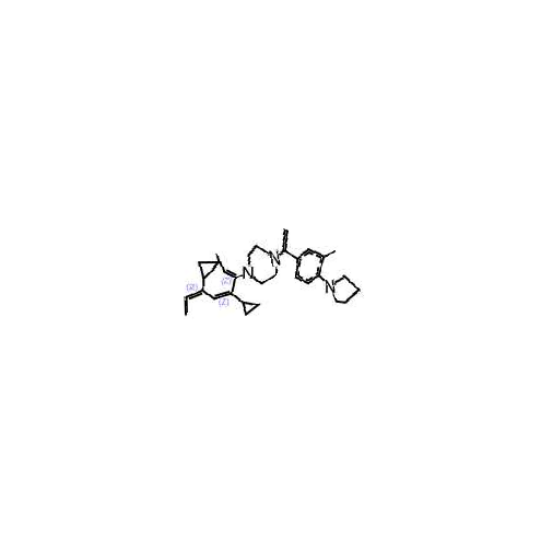 C=C(c1ccc(N2CCCC2)c(C)c1)N1CCN(C(=C\C)/C(=C\C(=C/C)C2CC2)C2CC2)CC1